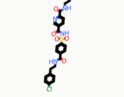 O=C(NCCc1ccc(Cl)cc1)c1ccc(S(=O)(=O)NC(=O)c2ccc(C(=O)NCCO)nc2)cc1